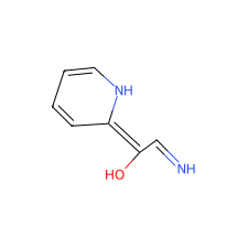 N=C/C(O)=C1/C=CC=CN1